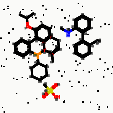 CC(C)Oc1cccc(OC(C)C)c1-c1ccccc1P(C1CCCCC1)C1CCCCC1.CNc1ccccc1-c1cccc[c]1[Pd].CS(=O)(=O)O